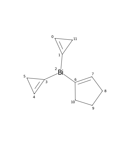 C1=[C]([Bi]([C]2=CC2)[C]2=CCCC2)C1